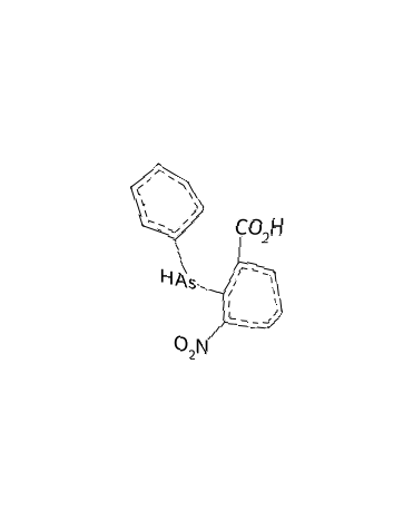 O=C(O)c1cccc([N+](=O)[O-])c1[AsH]c1ccccc1